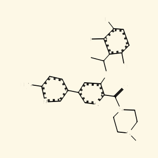 CC(Oc1cc(-c2ccc(N)nc2)cnc1C(=O)N1CCN(C)CC1)c1c(Cl)ccc(F)c1Cl